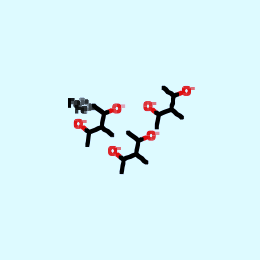 CC([O-])C(C)C(C)[O-].CC([O-])C(C)C(C)[O-].CC([O-])C(C)C(C)[O-].[Fe+3].[Fe+3]